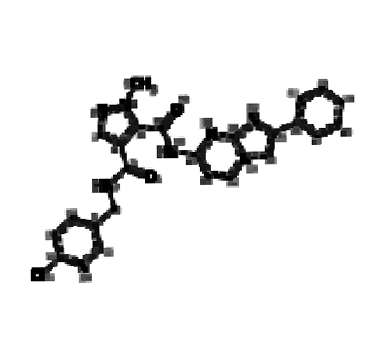 Cn1ncc(C(=O)NCc2ccc(Cl)nc2)c1C(=O)Nc1ccn2cc(-c3ccccc3)nc2n1